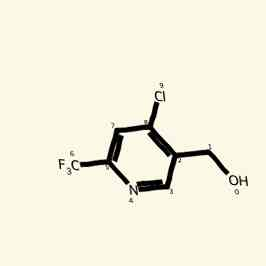 OCc1cnc(C(F)(F)F)cc1Cl